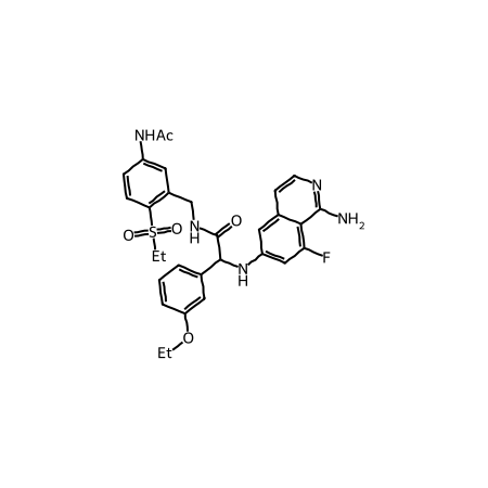 CCOc1cccc(C(Nc2cc(F)c3c(N)nccc3c2)C(=O)NCc2cc(NC(C)=O)ccc2S(=O)(=O)CC)c1